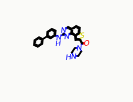 O=C(c1cc2c(ccc3cnc(Nc4cccc(-c5ccccc5)c4)nc32)s1)N1CCNCC1